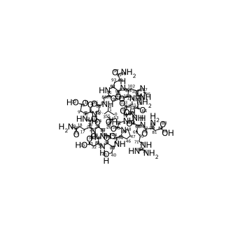 CC(C)C[C@H](NC(=O)[C@H](CC(=O)O)NC(=O)[C@H](CCC(N)=O)NC(=O)[C@H](CO)NC(=O)[C@H](CC(=O)O)NC(=O)[C@H](CO)NC(=O)[C@@H]1CCCN1C(=O)[C@H](CC(C)C)NC(=O)[C@H](CC(N)=O)NC(=O)[C@H](CCCNC(=N)N)NC(=O)[C@@H](N)CC(=O)O)C(=O)NCC(=O)N[C@@H](CCC(N)=O)C(=O)N[C@@H](Cc1c[nH]cn1)C(=O)NCC(=O)O